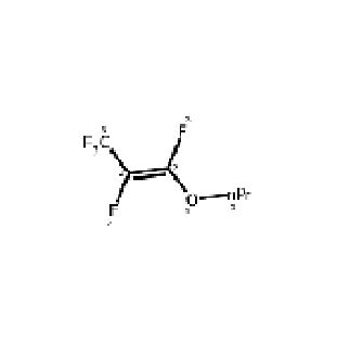 CCCOC(F)=C(F)C(F)(F)F